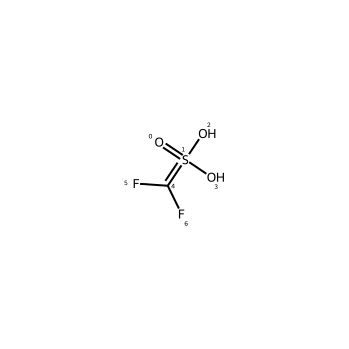 O=S(O)(O)=C(F)F